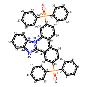 O=P(c1ccccc1)(c1ccccc1)c1ccc2c3ccc(P(=O)(c4ccccc4)c4ccccc4)cc3n3c4ccccc4nc3c2c1